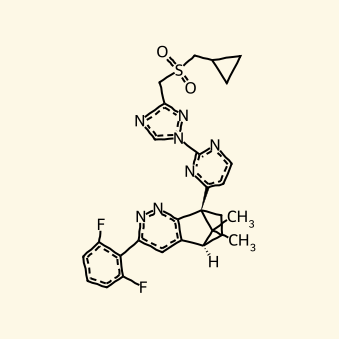 CC1(C)[C@H]2CC[C@@]1(c1ccnc(-n3cnc(CS(=O)(=O)CC4CC4)n3)n1)c1nnc(-c3c(F)cccc3F)cc12